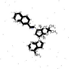 CC1(C)O[C@@H]2[C@H](O1)[C@@H](/C=C/c1ccc3cccnc3c1)C[C@H]2n1ccc2c(N)ncnc21